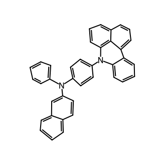 c1ccc(N(c2ccc(N3c4ccccc4-c4cccc5cccc3c45)cc2)c2ccc3ccccc3c2)cc1